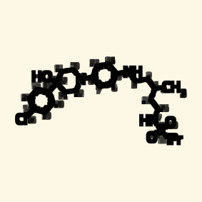 CC(CCNc1ccc(N2CCC(O)(c3ccc(Cl)cc3)CC2)cc1)CCNS(=O)(=O)C(C)C